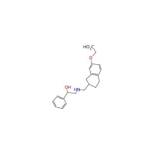 O=C(O)COc1ccc2c(c1)CC(CNCC(O)c1ccccc1)CC2